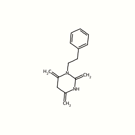 C=C1CC(=C)N(CCc2ccccc2)C(=C)N1